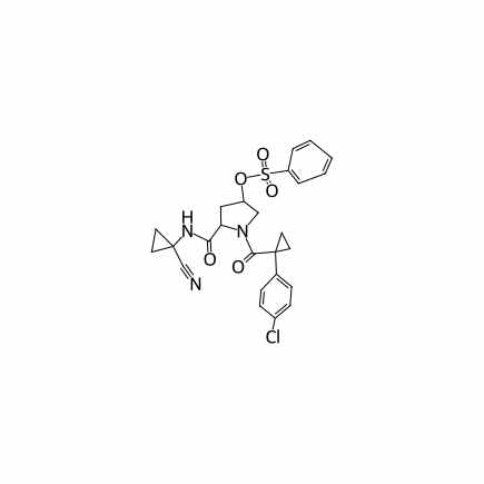 N#CC1(NC(=O)C2CC(OS(=O)(=O)c3ccccc3)CN2C(=O)C2(c3ccc(Cl)cc3)CC2)CC1